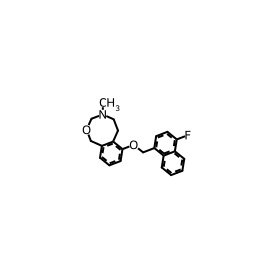 CN1CCc2c(cccc2OCc2ccc(F)c3ccccc23)COC1